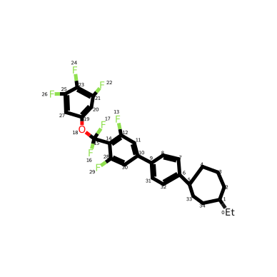 CCC1CCCC(c2ccc(-c3cc(F)c(C(F)(F)Oc4cc(F)c(F)c(F)c4)c(F)c3)cc2)CC1